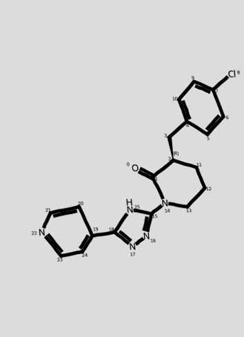 O=C1[C@@H](Cc2ccc(Cl)cc2)CCCN1c1nnc(-c2ccncc2)[nH]1